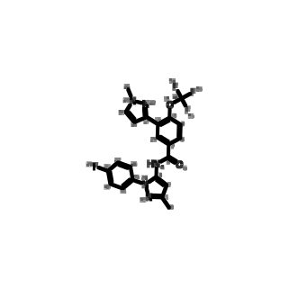 Cc1cc(NC(=O)c2ccc(OC(F)(F)F)c(-c3ccn(C)n3)c2)n(-c2ccc(F)cc2)n1